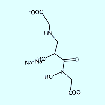 O=C([O-])CNCC(O)C(=O)N(O)CC(=O)[O-].[Na+].[Na+]